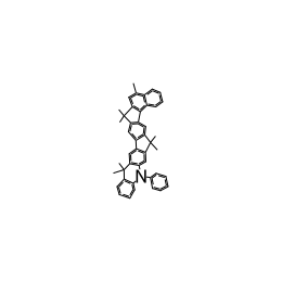 Cc1cc2c(c3ccccc13)-c1cc3c(cc1C2(C)C)-c1cc2c(cc1C3(C)C)N(c1ccccc1)c1ccccc1C2(C)C